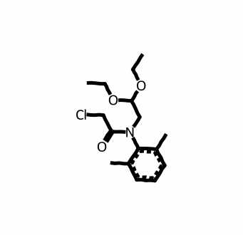 CCOC(CN(C(=O)CCl)c1c(C)cccc1C)OCC